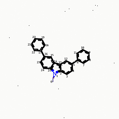 In1c2ccc(-c3ccccc3)cc2c2cc(-c3ccccc3)ccc21